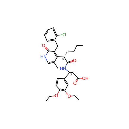 CCCC[C@H](C(=O)N[C@@H](CC(=O)O)c1ccc(OCC)c(OCC)c1)c1c(C)c[nH]c(=O)c1Cc1ccccc1Cl